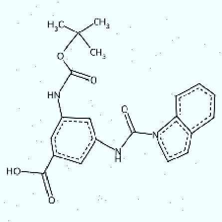 CC(C)(C)OC(=O)Nc1cc(NC(=O)n2ccc3ccccc32)cc(C(=O)O)c1